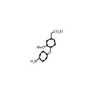 CCOC(=O)Cc1ccc(Oc2ccc(N)cc2)c(OC)c1